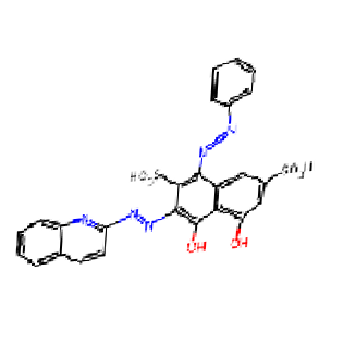 O=S(=O)(O)c1cc(O)c2c(O)c(N=Nc3ccc4ccccc4n3)c(S(=O)(=O)O)c(N=Nc3ccccc3)c2c1